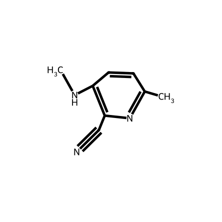 CNc1ccc(C)nc1C#N